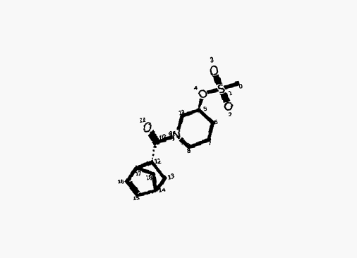 CS(=O)(=O)O[C@H]1CCCN(C(=O)[C@@H]2CC3C=CC2C3)C1